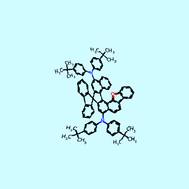 CC(C)(C)c1ccc(N(c2ccc(C(C)(C)C)cc2)c2cc3c(c4ccccc24)-c2c(cc(N(c4ccc(C(C)(C)C)cc4)c4ccc(C(C)(C)C)cc4)c4ccc5c6ccccc6oc5c24)C32c3ccccc3-c3ccccc32)cc1